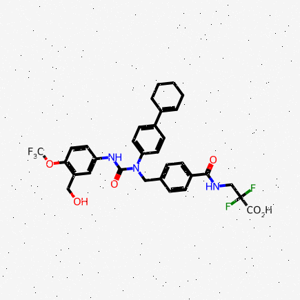 O=C(NCC(F)(F)C(=O)O)c1ccc(CN(C(=O)Nc2ccc(OC(F)(F)F)c(CO)c2)c2ccc(C3=CCCCC3)cc2)cc1